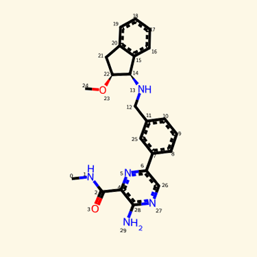 CNC(=O)c1nc(-c2cccc(CN[C@@H]3c4ccccc4C[C@@H]3OC)c2)cnc1N